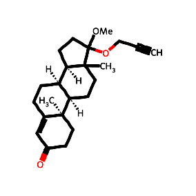 C#CCOC1(OC)CC[C@@H]2[C@@H]3CCC4=CC(=O)CC[C@]4(C)[C@@H]3CCC21C